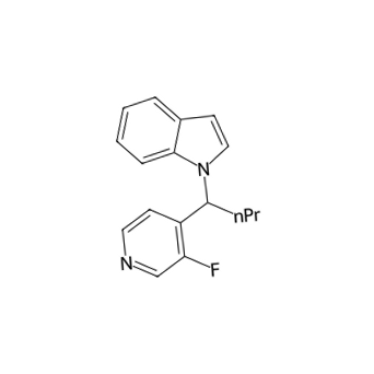 CCCC(c1ccncc1F)n1ccc2ccccc21